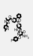 Cc1ccc(-c2nc(C)c(C(=O)N3CC[C@@H](C(=O)N4CCC(O)(Cn5cnc(Oc6ccc(F)cc6)c(N)c5=O)CC4)[C@H](c4ccccc4)C3)s2)cn1